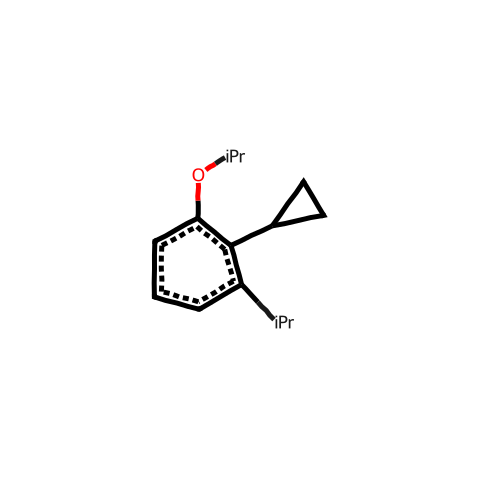 [CH2]C(C)c1cccc(OC(C)C)c1C1CC1